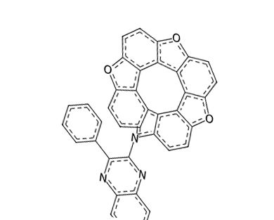 c1ccc(-c2nc3ccccc3nc2-n2c3ccc4oc5ccc6oc7ccc8oc9ccc2c2c9c8c7c6c5c4c23)cc1